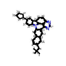 CC(C)(C)Cc1ccc2cc3c(cc2c1)c1ncnc2ccc4c5cc(C6CCCC6)ccc5n3c4c21